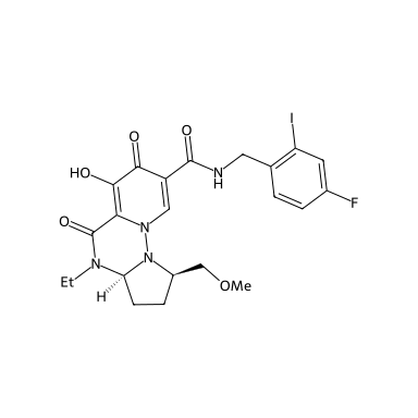 CCN1C(=O)c2c(O)c(=O)c(C(=O)NCc3ccc(F)cc3I)cn2N2[C@@H](COC)CC[C@@H]12